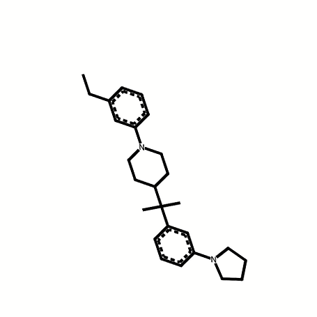 CCc1cccc(N2CCC(C(C)(C)c3cccc(N4CCCC4)c3)CC2)c1